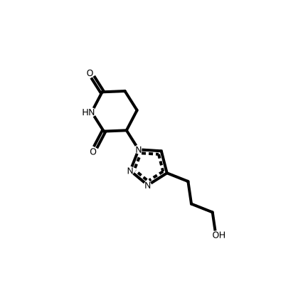 O=C1CCC(n2cc(CCCO)nn2)C(=O)N1